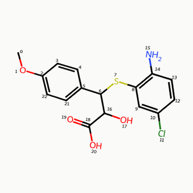 COc1ccc(C(Sc2cc(Cl)ccc2N)C(O)C(=O)O)cc1